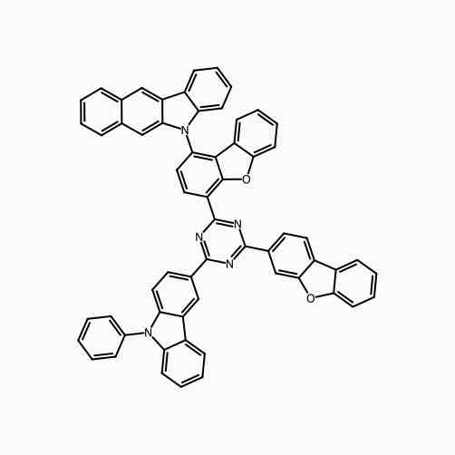 c1ccc(-n2c3ccccc3c3cc(-c4nc(-c5ccc6c(c5)oc5ccccc56)nc(-c5ccc(-n6c7ccccc7c7cc8ccccc8cc76)c6c5oc5ccccc56)n4)ccc32)cc1